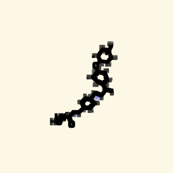 C=C(/C=C/c1ccc(/C=C/C(=O)NO)cc1)c1ccc(OC2CCN(C)CC2)cc1